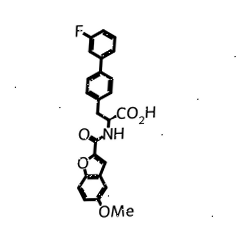 COc1ccc2oc(C(=O)N[C@@H](Cc3ccc(-c4cccc(F)c4)cc3)C(=O)O)cc2c1